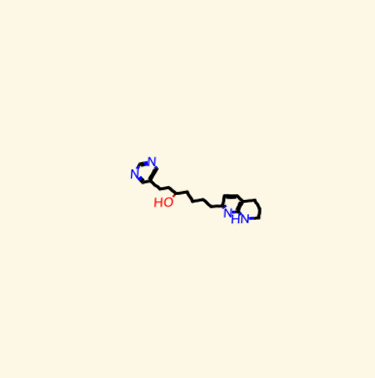 O[C@H](CCCCc1ccc2c(n1)NCCC2)CCc1cncnc1